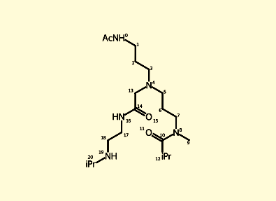 CC(=O)NCCCN(CCCN(C)C(=O)C(C)C)CC(=O)NCCNC(C)C